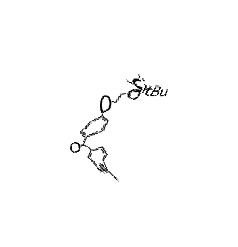 Cc1ccc(C(=O)c2ccc(OCCO[Si](C)(C)C(C)(C)C)cc2)cc1